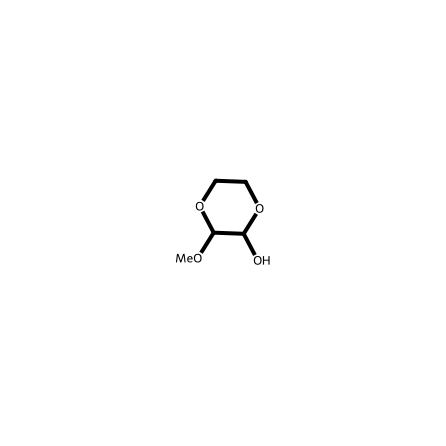 COC1OCCOC1O